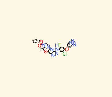 CC(C)(C)OC(=O)N1CCN2C[C@H]1COc1cc3ncnc(Nc4cc(Cl)c(Oc5ccn6ncnc6c5)cc4F)c3nc12